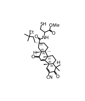 CCC(C)(C)CC[C@]1(C(=O)NC(CS)C(=O)OC)CC[C@]2(C)[C@@H](C1)C(=O)C=C1[C@@]3(C)C=C(C#N)C(=O)C(C)(C)[C@@H]3CC[C@]12C